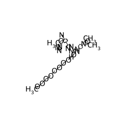 COCCOCCOCCOCCOCCOCCOCCOCCCOc1nn([C@H]2CC[C@H](N3C[C@@H](C)O[C@@H](C)C3)CC2)cc1Nc1ncc(-c2ccc(C#N)c(O[C@@H](C)Cn3cncn3)c2)cn1